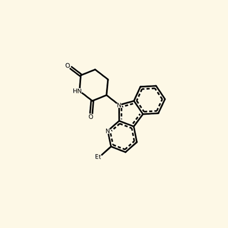 CCc1ccc2c3ccccc3n(C3CCC(=O)NC3=O)c2n1